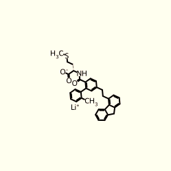 CSCC[C@H](NC(=O)c1ccc(CCc2cccc3c2-c2ccccc2C3)cc1-c1ccccc1C)C(=O)[O-].[Li+]